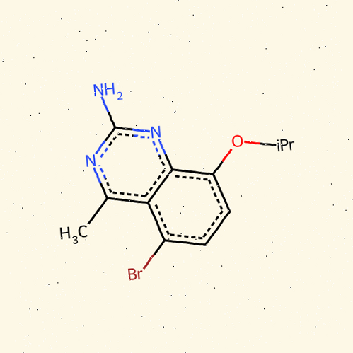 Cc1nc(N)nc2c(OC(C)C)ccc(Br)c12